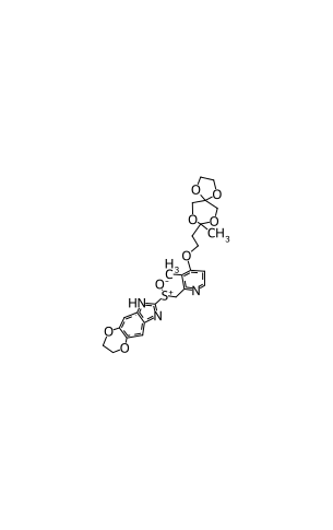 Cc1c(OCCC2(C)OCC3(CO2)OCCO3)ccnc1C[S+]([O-])c1nc2cc3c(cc2[nH]1)OCCO3